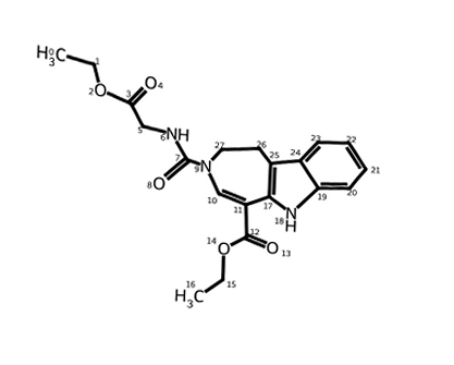 CCOC(=O)CNC(=O)N1C=C(C(=O)OCC)c2[nH]c3ccccc3c2CC1